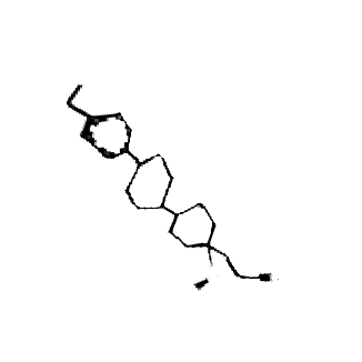 CCc1ccc(C2CCC(C3CCC(C=CC#N)(OC)CC3)CC2)cc1